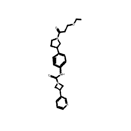 CCOCCC(=O)N1CCC(c2ccc(NC(=O)N3CC(c4cccnc4)C3)cc2)C1